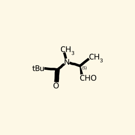 C[C@@H](C=O)N(C)C(=O)C(C)(C)C